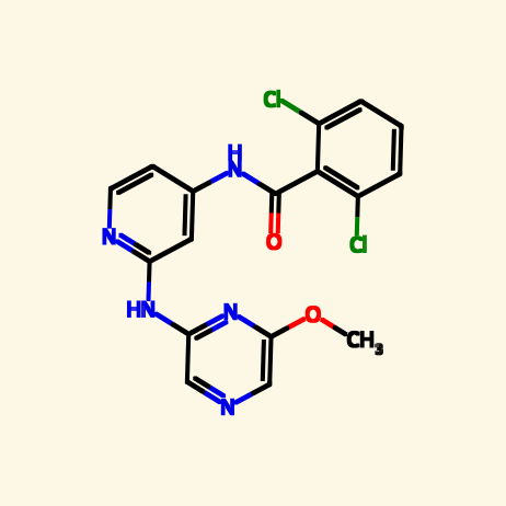 COc1cncc(Nc2cc(NC(=O)c3c(Cl)cccc3Cl)ccn2)n1